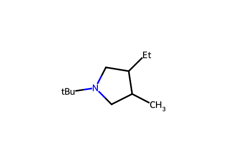 CCC1CN(C(C)(C)C)CC1C